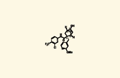 COc1cc(C[C@]2(C(=O)Nc3ccc(C(F)(F)F)c(Cl)c3)C[C@H]3O[C@@H]2C[C@@H]3O)ccn1